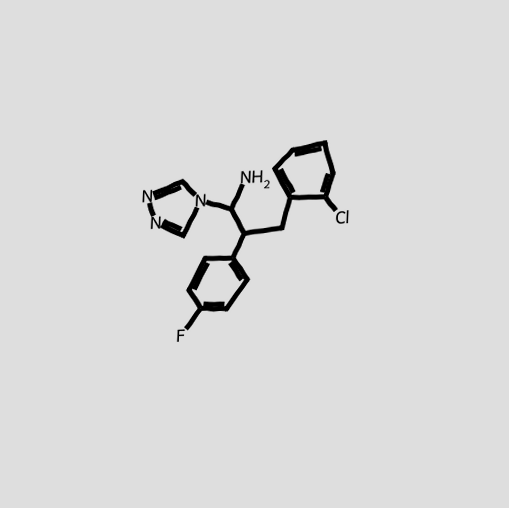 NC(C(Cc1ccccc1Cl)c1ccc(F)cc1)n1cnnc1